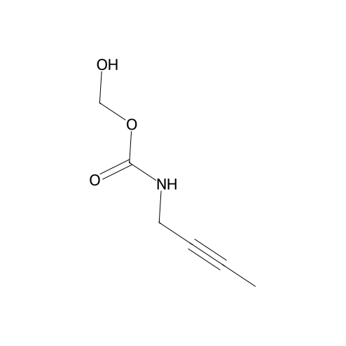 CC#CCNC(=O)OCO